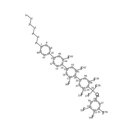 CCCCCCCc1ccc(-c2ccc(-c3cc(F)c(-c4cc(F)c(C(F)(F)Oc5cc(F)c(F)c(F)c5)c(F)c4)c(F)c3)c(F)c2)cc1